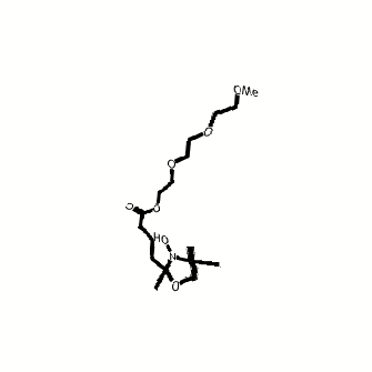 COCCOCCOCCOC(=O)CCCC1(C)OCC(C)(C)N1O